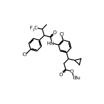 CC(C(C(=O)Nc1cc(C(CC(=O)OC(C)(C)C)C2CC2)ccc1Cl)c1ccc(Cl)cc1)C(F)(F)F